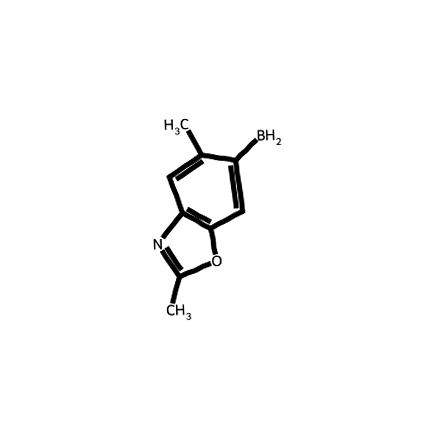 Bc1cc2oc(C)nc2cc1C